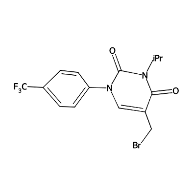 CC(C)n1c(=O)c(CBr)cn(-c2ccc(C(F)(F)F)cc2)c1=O